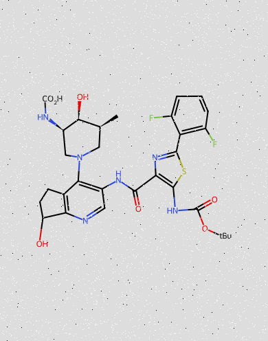 C[C@H]1CN(c2c(NC(=O)c3nc(-c4c(F)cccc4F)sc3NC(=O)OC(C)(C)C)cnc3c2CCC3O)C[C@@H](NC(=O)O)[C@H]1O